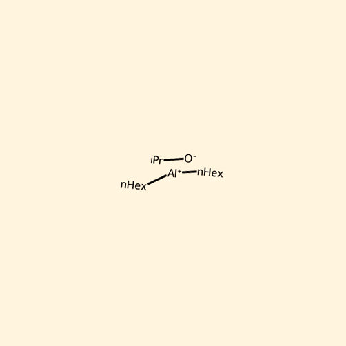 CC(C)[O-].CCCCC[CH2][Al+][CH2]CCCCC